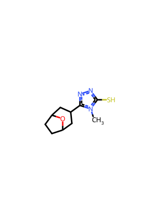 Cn1c(S)nnc1C1CC2CCC(C1)O2